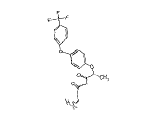 CCC(=O)CC(=O)C(C)Oc1ccc(Oc2ccc(C(F)(F)F)cc2)cc1